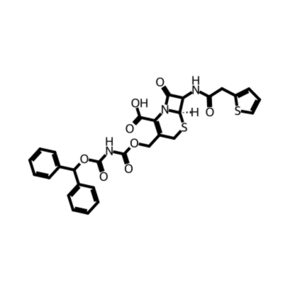 O=C(Cc1cccs1)NC1C(=O)N2C(C(=O)O)=C(COC(=O)NC(=O)OC(c3ccccc3)c3ccccc3)CS[C@H]12